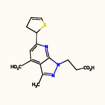 Cc1nn(CCC(=O)O)c2nc(C3CC=CS3)cc(C(=O)O)c12